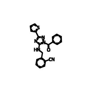 N#Cc1ccccc1CNc1nc(-c2cccs2)nn1C(=O)c1ccccc1